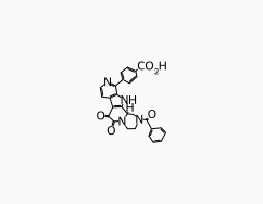 O=C(O)c1ccc(-c2nccc3c4c([nH]c23)[C@@H]2CN(C(=O)c3ccccc3)CCN2C(=O)C4=O)cc1